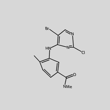 CNC(=O)c1ccc(C)c(Nc2nc(Cl)ncc2Br)c1